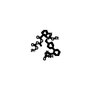 CCOc1nc2cccc(C(=O)OC(C)OC(=O)OC(C)C)c2n1Cc1ccc(-c2ccccc2-c2noc(=O)[nH]2)cc1